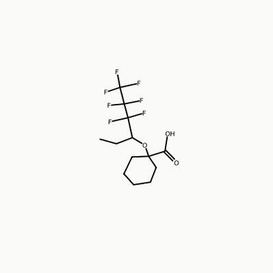 CCC(OC1(C(=O)O)CCCCC1)C(F)(F)C(F)(F)C(F)(F)F